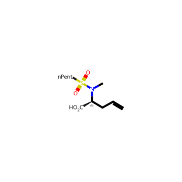 C=CC[C@@H](C(=O)O)N(C)S(=O)(=O)CCCCC